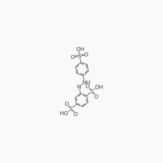 O=S(=O)(O)c1ccc(N[N]c2cc(S(=O)(=O)O)ccc2S(=O)(=O)O)cc1